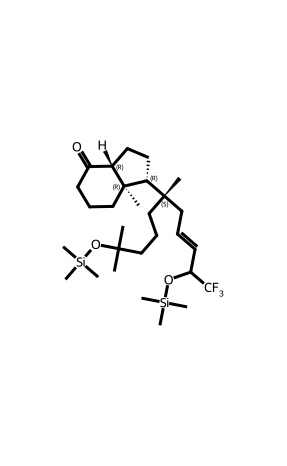 CC(C)(CCC[C@@](C)(CC=CC(O[Si](C)(C)C)C(F)(F)F)[C@H]1CC[C@H]2C(=O)CCC[C@]12C)O[Si](C)(C)C